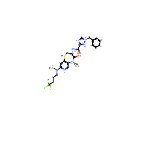 CN(CCCC(F)(F)F)c1cc2c(cn1)N(C)C(=O)[C@@H](NC(=O)c1ncn(Cc3ccccc3)n1)CS2